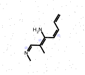 C=C\C=C/C(N)=C(C)/C=N\C